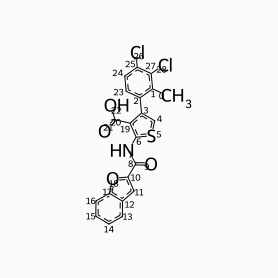 Cc1c(-c2csc(NC(=O)c3cc4ccccc4o3)c2C(=O)O)ccc(Cl)c1Cl